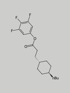 CCCC[C@H]1CC[C@H](CCC(=O)Oc2cc(F)c(F)c(F)c2)CC1